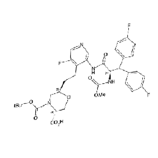 COC(=O)N[C@@H](C(=O)Nc1cncc(F)c1CC[C@@H]1CN(C(=O)OC(C)(C)C)[C@@H](C(=O)O)CO1)C(c1ccc(F)cc1)c1ccc(F)cc1